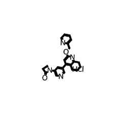 Cl.O=C1CCN1c1cncc(-c2cc(OCc3ccccn3)nc3c2CCCC3)c1